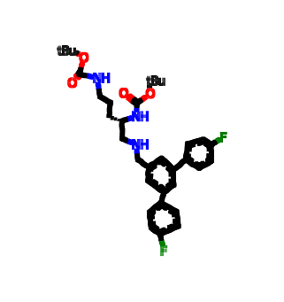 CC(C)(C)OC(=O)NCCC[C@@H](CNCc1cc(-c2ccc(F)cc2)cc(-c2ccc(F)cc2)c1)NC(=O)OC(C)(C)C